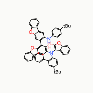 CC(C)(C)c1ccc(Nc2cc3c(cc2-c2c4c(cc5c2oc2ccccc25)N(c2ccc(C(C)(C)C)cc2-c2ccccc2)c2c(oc5ccccc25)B4)oc2ccccc23)cc1